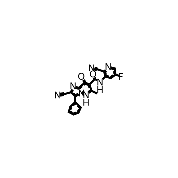 Cc1[nH]n2c(-c3ccccc3)c(C#N)nc2c(=O)c1C(=O)Nc1cc(F)cnc1C#N